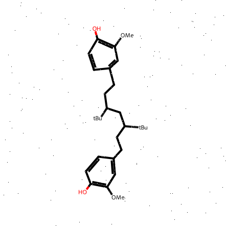 COc1cc(CCC(CC(CCc2ccc(O)c(OC)c2)C(C)(C)C)C(C)(C)C)ccc1O